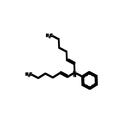 CCCCC=C[SiH](C=CCCCC)c1ccccc1